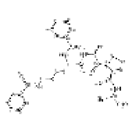 CC(C)[C@H](NC(=O)[C@H](CCCCNC(=O)c1ccccc1)NC(=O)c1ccccc1)C(=O)N1CCC[C@H]1C(=O)N[C@H](C=O)C(C)C